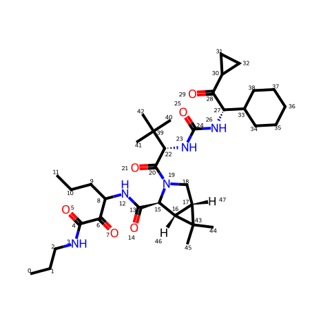 CCCNC(=O)C(=O)C(CCC)NC(=O)[C@@H]1[C@@H]2[C@H](CN1C(=O)[C@@H](NC(=O)N[C@H](C(=O)C1CC1)C1CCCCC1)C(C)(C)C)C2(C)C